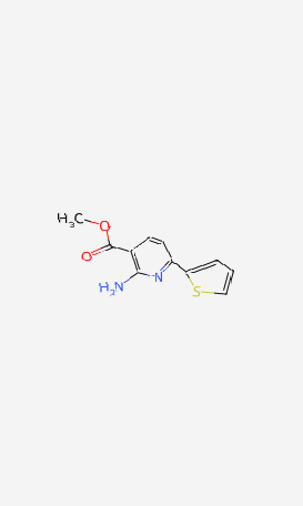 COC(=O)c1ccc(-c2cccs2)nc1N